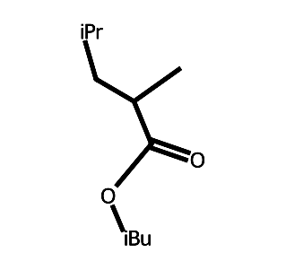 CCC(C)OC(=O)C(C)CC(C)C